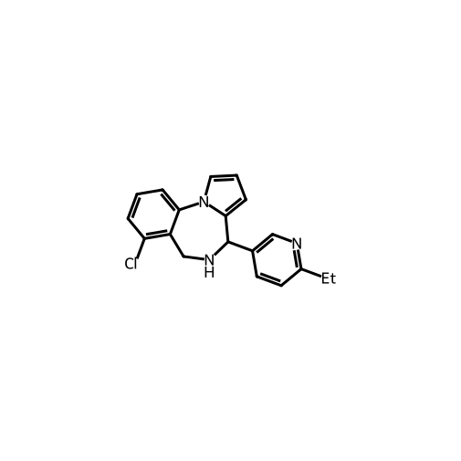 CCc1ccc(C2NCc3c(Cl)cccc3-n3cccc32)cn1